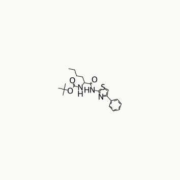 CCCCC(NC(=O)OC(C)(C)C)C(=O)Nc1nc(-c2ccccc2)cs1